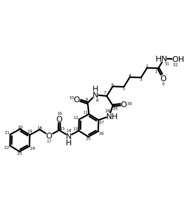 O=C(CCCCCC1NC(=O)c2cc(NC(=O)OCc3ccccc3)ccc2NC1=O)NO